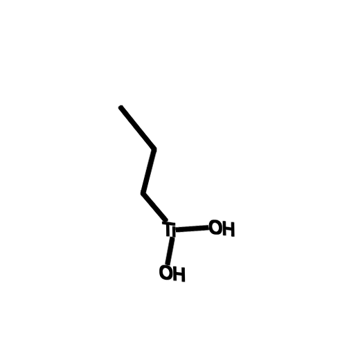 CC[CH2][Ti]([OH])[OH]